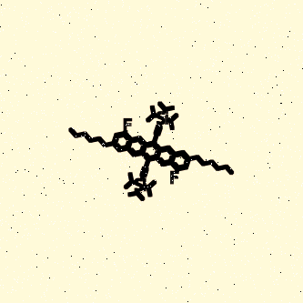 CCCCCCc1cc(F)c2cc3c(C#C[Si](C(C)C)(C(C)C)C(C)C)c4cc5cc(CCCCCC)cc(F)c5cc4c(C#C[Si](C(C)C)(C(C)C)C(C)C)c3cc2c1